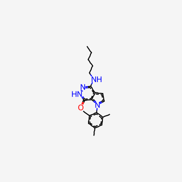 CCCCCNc1n[nH]c(=O)c2c1ccn2-c1c(C)cc(C)cc1C